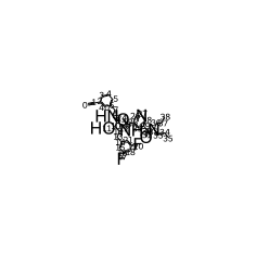 C#Cc1cccc(CNC[C@@H](O)C(Cc2cc(F)cc(F)c2)NC(=O)c2cncc(C(=O)N(CCC)CCC)c2)c1